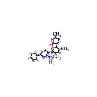 Cc1ccc2c(n1)oc1c(-c3ccc(-c4ccccc4)c[n+]3C)c(C)cc(C)c12